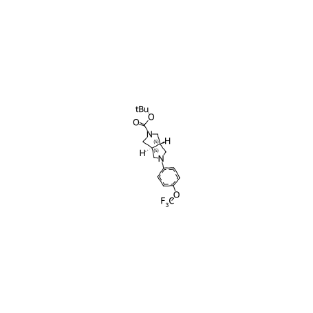 CC(C)(C)OC(=O)N1C[C@@H]2CN(c3ccc(OC(F)(F)F)cc3)C[C@H]2C1